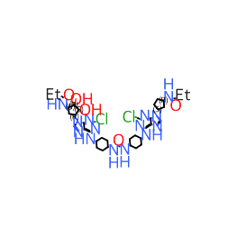 CCC(=O)N[C@@H]1CC[C@H](n2cnc3c(N[C@H]4CC[C@H](NC(=O)N[C@H]5CC[C@H](Nc6nc(Cl)nc7c6ncn7[C@@H]6C[C@H](NC(=O)CC)[C@@H](O)[C@H]6O)CC5)CC4)nc(Cl)nc32)C1